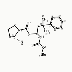 CC(C)(C)OC(=O)NC(CC(=O)N1CCC[C@H]1C#N)CC(C)(C)c1ccccc1